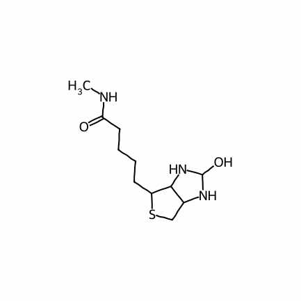 CNC(=O)CCCCC1SCC2NC(O)NC21